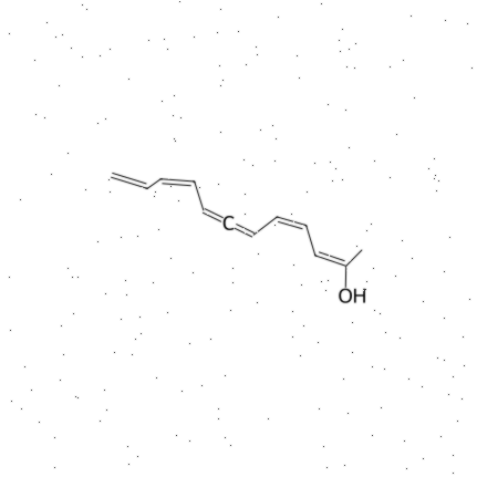 C=C/C=C\C=C=C/C=C\C=C(/C)O